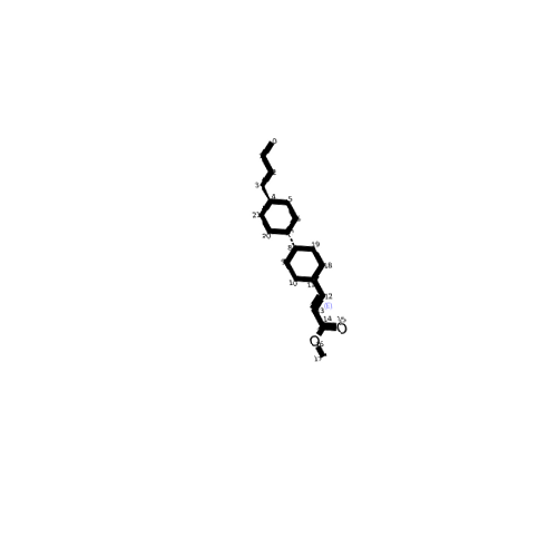 CCCC[C@H]1CC[C@H](C2CCC(/C=C/C(=O)OC)CC2)CC1